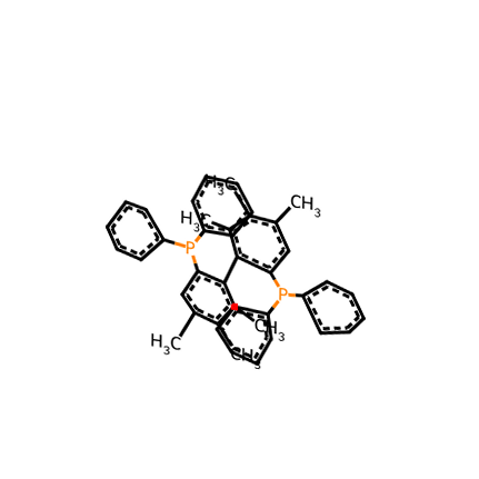 Cc1cc(P(c2ccccc2)c2ccccc2)c(-c2c(P(c3ccccc3)c3ccccc3)cc(C)c(C)c2C)c(C)c1C